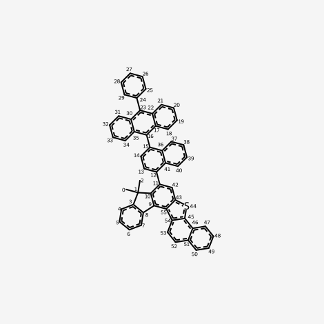 CC1(C)c2ccccc2-c2c1c(-c1ccc(-c3c4ccccc4c(-c4ccccc4)c4ccccc34)c3ccccc13)cc1sc3c4ccccc4ccc3c21